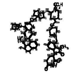 C#Cc1c(F)ccc2cccc(-c3ncc4c(N5CC6CCC(C5)N6)nc(OC[C@@]56CCCN5[C@H](CC5CC(COC7CCN(Cc8cccc9c8n(C)c(=O)n9C8CCC(=O)NC8=O)CC7)CCN5C(=O)O)CC6)nc4c3F)c12